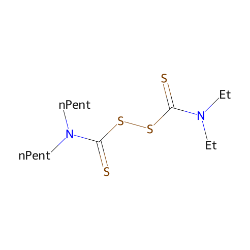 CCCCCN(CCCCC)C(=S)SSC(=S)N(CC)CC